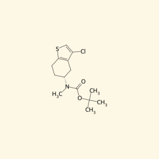 CN(C(=O)OC(C)(C)C)[C@@H]1CCc2scc(Cl)c2C1